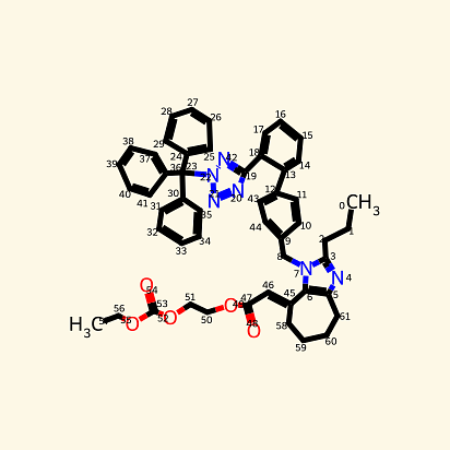 CCCc1nc2c(n1Cc1ccc(-c3ccccc3-c3nnn(C(c4ccccc4)(c4ccccc4)c4ccccc4)n3)cc1)C(=CC(=O)OCCOC(=O)OCC)CCCC2